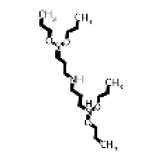 CCCO[SiH](CCCNCCC[SiH](OCCC)OCCC)OCCC